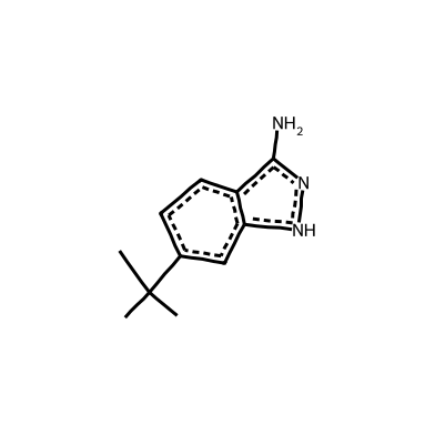 CC(C)(C)c1ccc2c(N)n[nH]c2c1